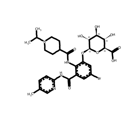 Cc1ccc(NC(=O)c2cc(Br)cc(O[C@@H]3O[C@H](C(=O)O)[C@@H](O)[C@H](O)[C@H]3O)c2NC(=O)C2CCN(C(C)C)CC2)nc1